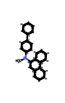 CN(c1ccc(-c2ccccc2)cc1)c1cc2ccccc2c2ccccc12